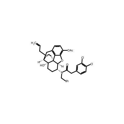 C=CCN1CC[C@]23c4c5ccc(OC(C)=O)c4O[C@H]2[C@H](N(CC(C)C)C(=O)Cc2ccc(Cl)c(Cl)c2)CC[C@@]3(O)[C@H]1C5